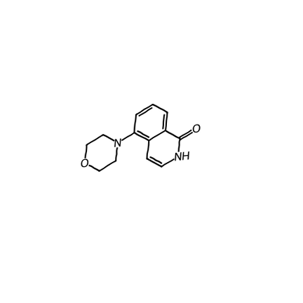 O=c1[nH]ccc2c(N3CCOCC3)cccc12